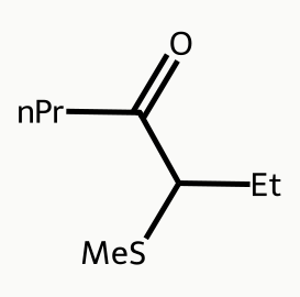 CCCC(=O)C(CC)SC